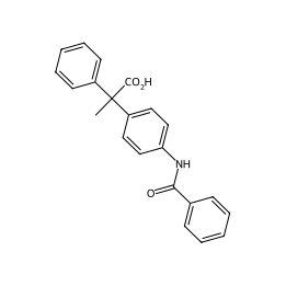 CC(C(=O)O)(c1ccccc1)c1ccc(NC(=O)c2ccccc2)cc1